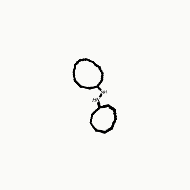 C1CCCCCC(NNC2CCCCCCCC2)CCCCC1